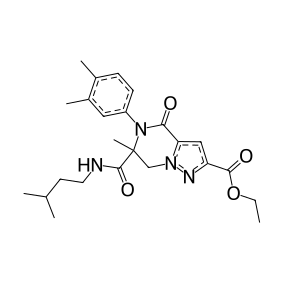 CCOC(=O)c1cc2n(n1)CC(C)(C(=O)NCCC(C)C)N(c1ccc(C)c(C)c1)C2=O